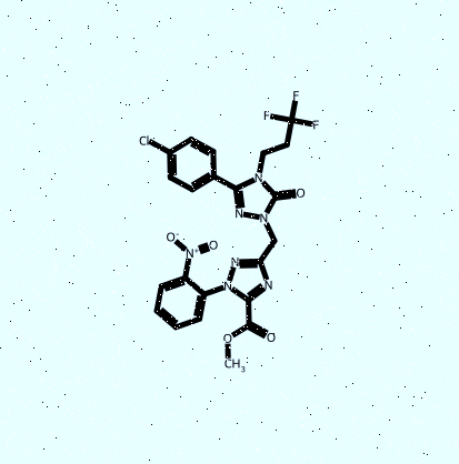 COC(=O)c1nc(Cn2nc(-c3ccc(Cl)cc3)n(CCC(F)(F)F)c2=O)nn1-c1ccccc1[N+](=O)[O-]